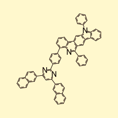 c1ccc(-c2nc3c(-c4ccc(-c5nc(-c6ccc7ccccc7c6)cc(-c6ccc7ccccc7c6)n5)cc4)cccc3c3cc4c(cc23)c2ccccc2n4-c2ccccc2)cc1